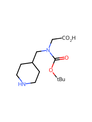 CC(C)(C)OC(=O)N(CC(=O)O)CC1CCNCC1